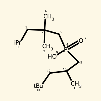 CC(C)CC(C)(C)CP(=O)(O)CC(C)CC(C)(C)C